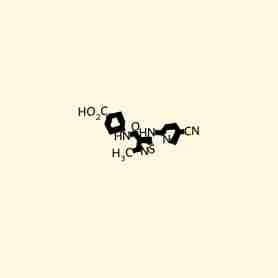 Cc1nsc(Nc2ccc(C#N)cn2)c1C(=O)Nc1ccc(C(=O)O)cc1